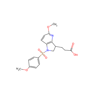 COc1ccc(S(=O)(=O)N2CC(CCC(=O)O)c3nc(OC)ccc32)cc1